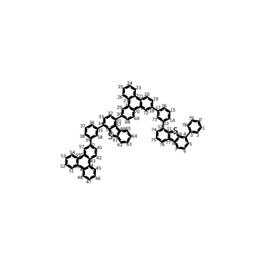 c1ccc(-c2cccc3c2sc2c(-c4cccc(-c5ccc6c7ccccc7c7cc(-c8ccc(-c9cccc(-c%10ccc%11c%12ccccc%12c%12ccccc%12c%11c%10)c9)c9sc%10ccccc%10c89)ccc7c6c5)c4)cccc23)cc1